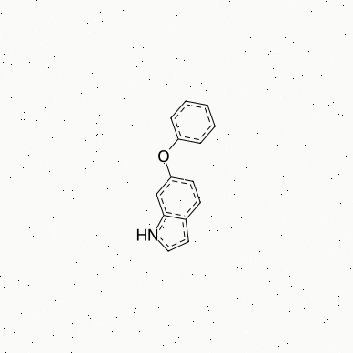 c1ccc(Oc2ccc3cc[nH]c3c2)cc1